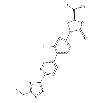 CCn1nnc(-c2ccc(-c3ccc(N4C[C@@H](C(O)F)OC4=O)cc3F)cn2)n1